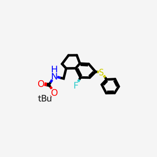 CC(C)(C)OC(=O)NCC1CCCc2cc(Sc3ccccc3)cc(F)c21